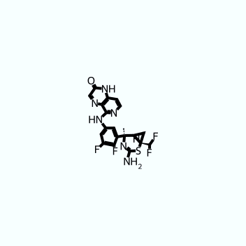 C[C@@]1(c2cc(Nc3nccc4[nH]c(=O)cnc34)cc(F)c2F)N=C(N)S[C@@]2(C(F)F)C[C@@H]12